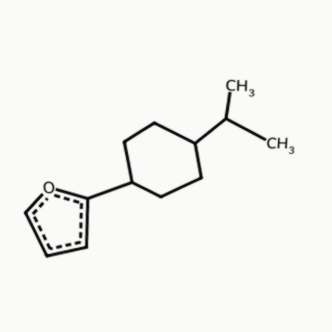 CC(C)C1CCC(c2ccco2)CC1